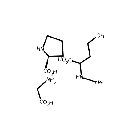 CCCNC(CCO)C(=O)O.NCC(=O)O.O=C(O)[C@@H]1CCCN1